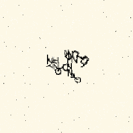 CCN(CC)C(C)CNC(=O)c1cc(-c2cnn3ccc(-c4cccs4)nc23)nc(N2CC(OC)C2)c1